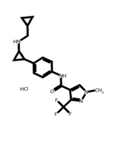 Cl.Cn1cc(C(=O)Nc2ccc(C3CC3NCC3CC3)cc2)c(C(F)(F)F)n1